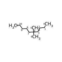 CC[CH]CC(C)(C)CCCCC